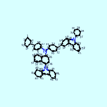 c1ccc(-c2ccc(N(c3ccc(-c4ccc5c(c4)c4ccccc4n5-c4ccccc4)cc3)c3ccc(-n4c5ccccc5c5ccccc54)c4ccccc34)cc2)cc1